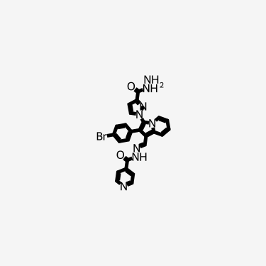 NNC(=O)c1ccn(-c2c(-c3ccc(Br)cc3)c(C=NNC(=O)c3ccncc3)c3ccccn23)n1